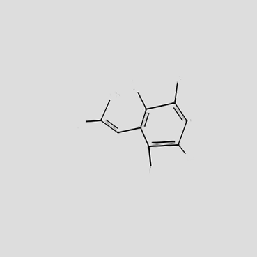 N#C/C(=C\c1c(Br)c(Br)cc(Br)c1Br)C(=O)O